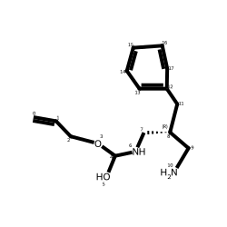 C=CCOC(O)NC[C@@H](CN)Cc1ccccc1